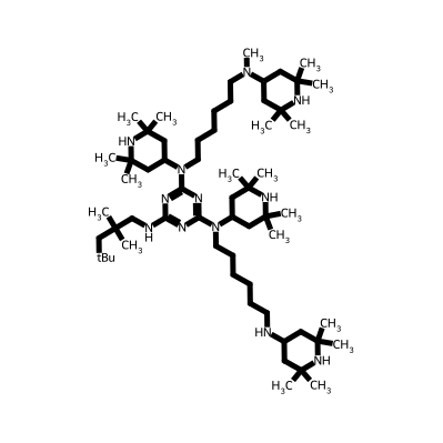 CN(CCCCCCN(c1nc(NCC(C)(C)CC(C)(C)C)nc(N(CCCCCCNC2CC(C)(C)NC(C)(C)C2)C2CC(C)(C)NC(C)(C)C2)n1)C1CC(C)(C)NC(C)(C)C1)C1CC(C)(C)NC(C)(C)C1